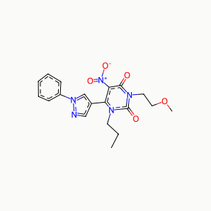 CCCn1c(-c2cnn(-c3ccccc3)c2)c([N+](=O)[O-])c(=O)n(CCOC)c1=O